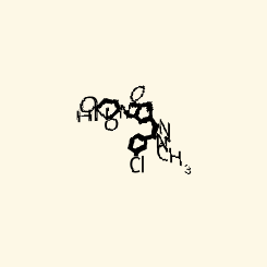 Cn1cnc(-c2ccc3c(c2)CN(C2CCC(=O)NC2=O)C3=O)c1-c1cccc(Cl)c1